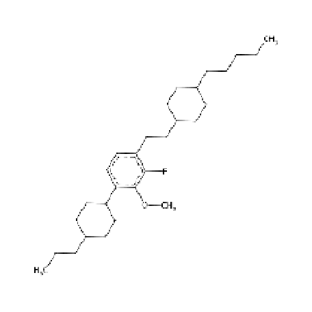 CCCCCC1CCC(CCc2ccc(C3CCC(CCC)CC3)c(OC)c2F)CC1